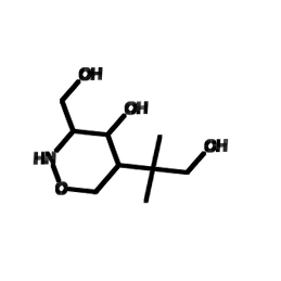 CC(C)(CO)C1CONC(CO)C1O